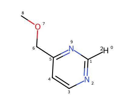 [2H]c1nccc(COC)n1